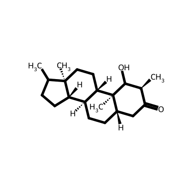 CC1CC[C@H]2[C@@H]3CC[C@H]4CC(=O)[C@H](C)C(O)[C@]4(C)[C@H]3CC[C@]12C